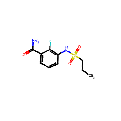 CCCS(=O)(=O)Nc1cccc(C(N)=O)c1F